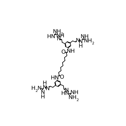 N=C(N)NN=CCc1cc(CC=NNC(=N)N)cc(NC(=O)CCCCCCCCC(=O)Nc2cc(CC=NNC(=N)N)cc(CC=NNC(=N)N)c2)c1